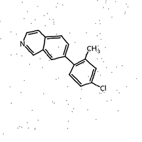 Cc1cc(Cl)ccc1-c1ccc2ccncc2c1